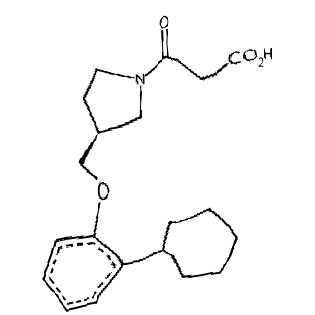 O=C(O)CC(=O)N1CC[C@H](COc2ccccc2C2CCCCC2)C1